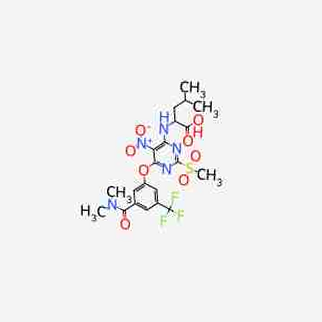 CC(C)CC(Nc1nc(S(C)(=O)=O)nc(Oc2cc(C(=O)N(C)C)cc(C(F)(F)F)c2)c1[N+](=O)[O-])C(=O)O